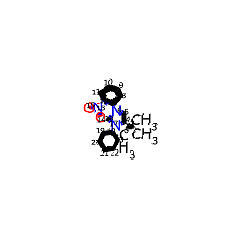 CC(C)(C)[C@H]1CN(c2ccccc2[N+](=O)[O-])CN1C1CCCCC1